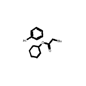 CC(=O)c1ccccc1.CC(C)(C)CC(=O)OC1CCCCC1